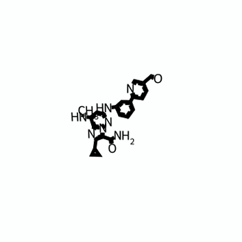 CNc1cc(Nc2cccc(-c3ccc(C=O)cn3)c2)nn2c(C(N)=O)c(C3CC3)nc12